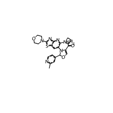 Cc1cc(C2OC=C(C(N)=O)N2c2cc3sc(N4CCOCC4)nc3nc2N2CCC2)ccn1